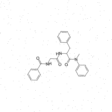 CN(C(=O)C(Cc1ccccc1)NC(=O)CNC(=O)c1ccccc1)c1ccccc1